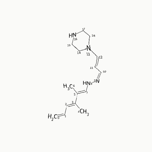 C=C/C=C(C)/C(C)=C/N/N=C\C=C\N1CCNCC1